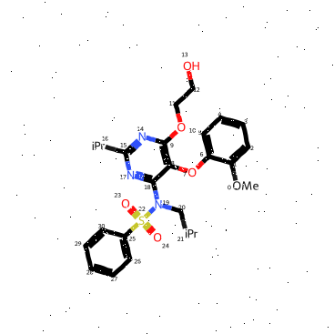 COc1ccccc1Oc1c(OCCO)nc(C(C)C)nc1N(CC(C)C)S(=O)(=O)c1ccccc1